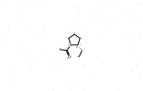 CC[C@H]1CCCN1C(C)=O